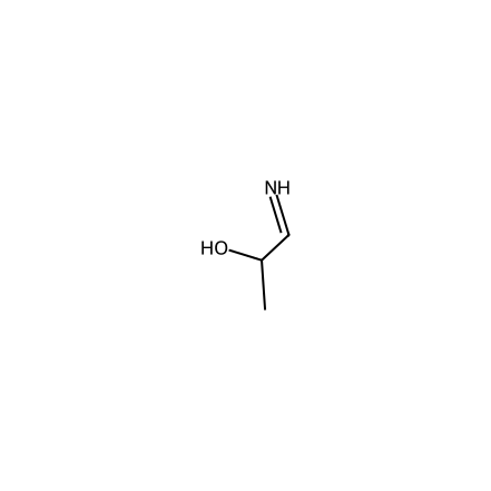 CC(O)C=N